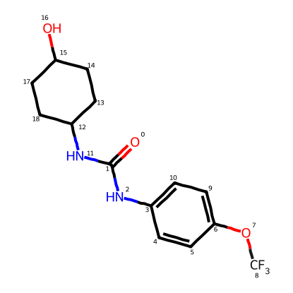 O=C(Nc1ccc(OC(F)(F)F)cc1)NC1CCC(O)CC1